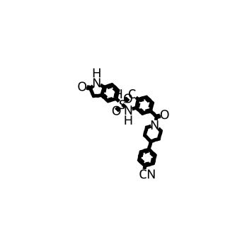 Cc1ccc(C(=O)N2CCC(c3ccc(C#N)cc3)CC2)cc1NS(=O)(=O)c1ccc2c(c1)CC(=O)N2